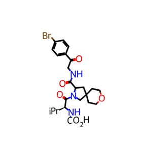 CC(C)[C@H](NC(=O)O)C(=O)N1CC2(CCOCC2)CC1C(=O)NCC(=O)c1ccc(Br)cc1